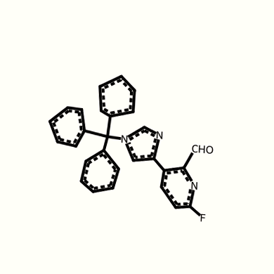 O=Cc1nc(F)ccc1-c1cn(C(c2ccccc2)(c2ccccc2)c2ccccc2)cn1